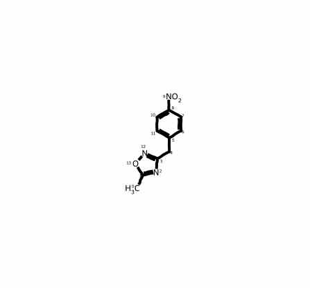 Cc1nc(Cc2ccc([N+](=O)[O-])cc2)no1